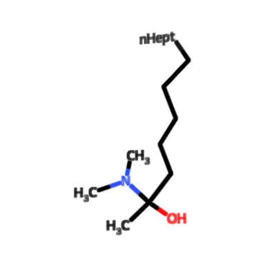 CCCCCCCCCCCCC(C)(O)N(C)C